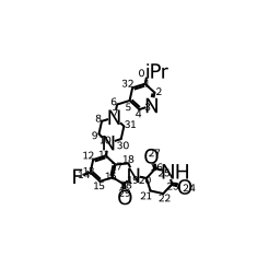 CC(C)c1cncc(CN2CCN(c3cc(F)cc4c3CN(C3CCC(=O)NC3=O)C4=O)CC2)c1